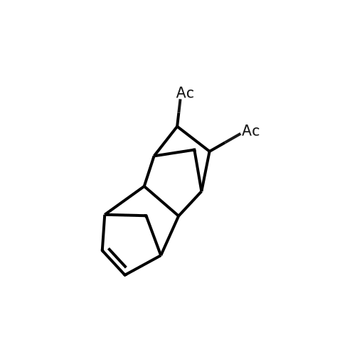 CC(=O)C1C2CC(C1C(C)=O)C1C3C=CC(C3)C21